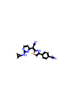 N#C/C(=C1\NC(c2ccc(C#N)cc2)=CS1)c1ccnc(NC2CC2)n1